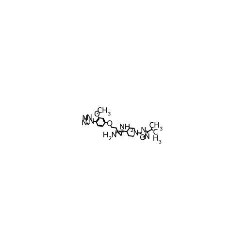 COc1cc(OCC[C@]2(N)C[C@]2(N)C2CCN(c3nc(C(C)C)no3)CC2)ccc1-n1cnnn1